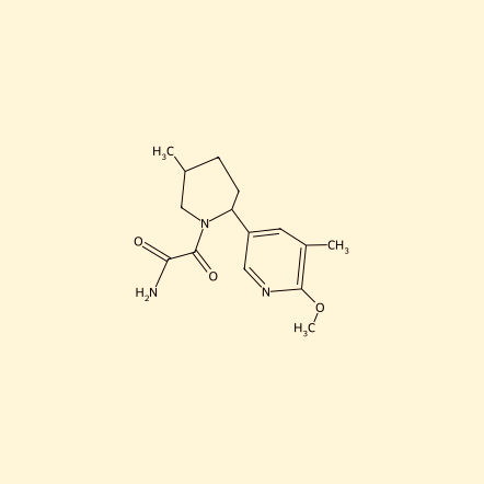 COc1ncc(C2CCC(C)CN2C(=O)C(N)=O)cc1C